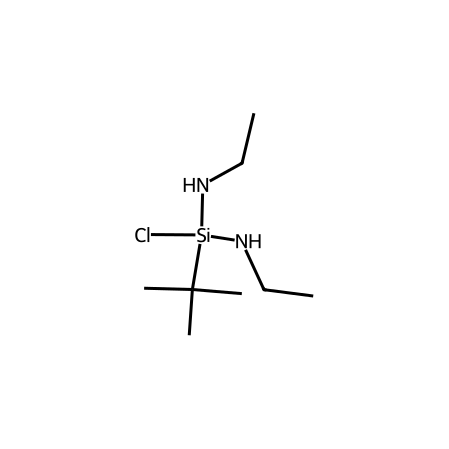 CCN[Si](Cl)(NCC)C(C)(C)C